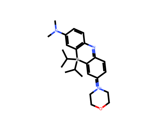 CC(C)[Si]1(C(C)C)C2=CC(=[N+]3CCOCC3)C=CC2=Nc2ccc(N(C)C)cc21